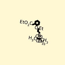 CCOC(=O)Cc1ccccc1O/C(=C/CB1OC(C)(C)C(C)(C)O1)CC